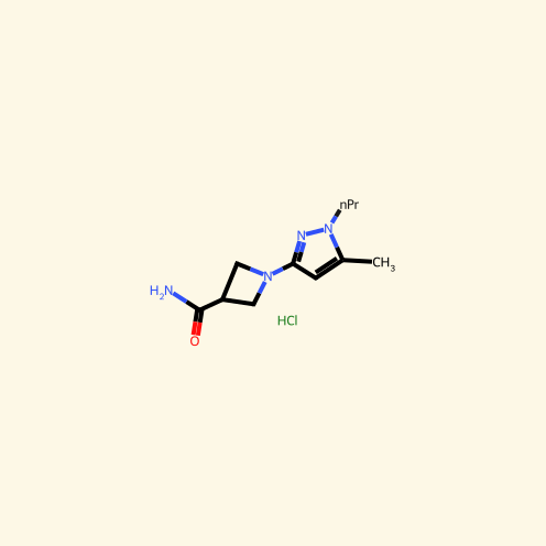 CCCn1nc(N2CC(C(N)=O)C2)cc1C.Cl